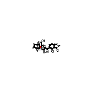 Cn1nc2ccc(-c3n[nH]c4nc(N5[C@@H]6CC[C@H]5[C@H](F)[C@@H](N)C6)c(CO)nc34)c(Cl)c2c1Cl